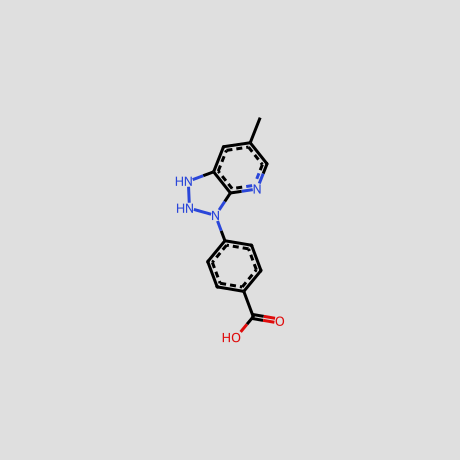 Cc1cnc2c(c1)NNN2c1ccc(C(=O)O)cc1